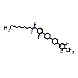 C=CCCCCCC/C(F)=C(\F)c1ccc(C2CCC(C3CCC(c4cc(F)c(C(F)(F)F)c(F)c4)CC3)CC2)c(F)c1